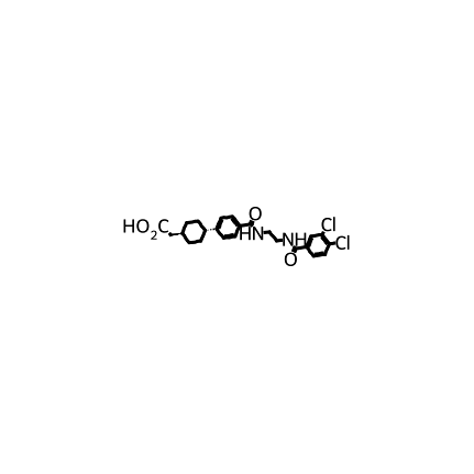 O=C(O)C[C@H]1CC[C@H](c2ccc(C(=O)NCCNC(=O)c3ccc(Cl)c(Cl)c3)cc2)CC1